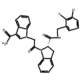 NC(=O)c1cn(CC(=O)N2c3ccccc3C[C@H]2C(=O)NCc2cccc(Cl)c2F)c2ccccc12